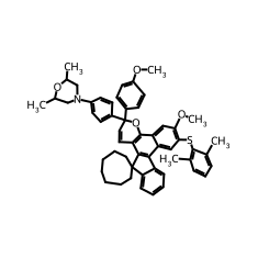 COc1ccc(C2(c3ccc(N4CC(C)OC(C)C4)cc3)C=Cc3c4c(c5cc(Sc6c(C)cccc6C)c(OC)cc5c3O2)-c2ccccc2C42CCCCCCC2)cc1